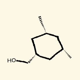 C[C@@H]1C[C@H](C)C[C@H](CO)C1